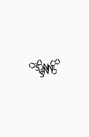 c1ccc2c(c1)ccc1c2c2ccccc2n1-c1nc(-c2cccc3c2sc2ccccc23)c2ccsc2n1